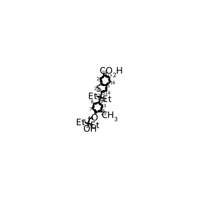 CCC(O)(CC)COc1ccc(C(CC)(CC)c2cc3ccc(C(=O)O)cc3s2)cc1C